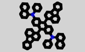 c1ccc(N(c2ccc3c(-c4ccc5c6c(cccc46)-c4ccccc4-5)c4cc(N(c5ccccc5)c5cccc6ccccc56)ccc4c(-c4ccc5c6c(cccc46)-c4ccccc4-5)c3c2)c2cccc3ccccc23)cc1